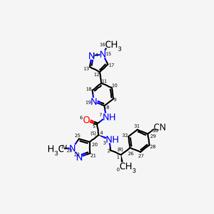 C[C@@H](CN[C@H](C(=O)Nc1ccc(-c2cnn(C)c2)cn1)c1cnn(C)c1)c1ccc(C#N)cc1